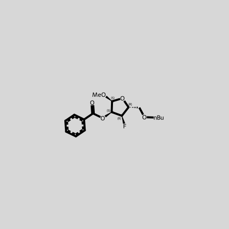 CCCCOC[C@H]1O[C@H](OC)[C@H](OC(=O)c2ccccc2)[C@@H]1F